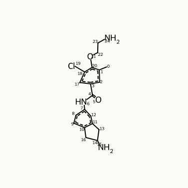 Cc1cc(C(=O)Nc2ccc3c(c2)CC(N)C3)cc(Cl)c1OCCN